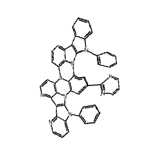 c1ccc(-n2c3ccccc3c3c4cccc5c4n(c32)-c2cc(-c3ncccn3)cc3c2B5c2ccnc4c5c6ncccc6n(-c6ccccc6)c5n-3c24)cc1